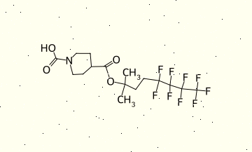 CC(C)(CCC(F)(F)C(F)(F)C(F)(F)C(F)(F)F)OC(=O)C1CCN(C(=O)O)CC1